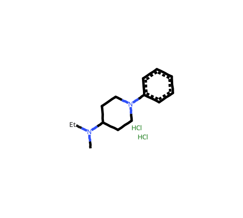 CCN(C)C1CCN(c2ccccc2)CC1.Cl.Cl